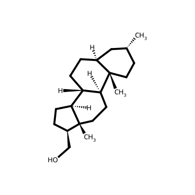 C[C@@H]1CC[C@@]2(C)[C@@H](CC[C@@H]3[C@@H]2CC[C@]2(C)[C@@H](CO)CC[C@@H]32)C1